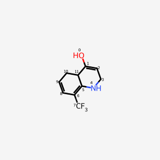 OC1=CCNC2=C(C(F)(F)F)C=CCC12